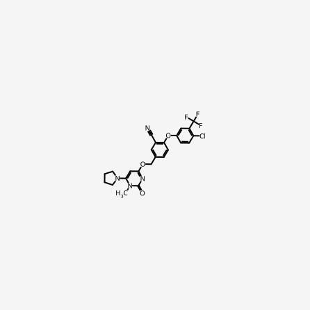 Cn1c(N2CCCC2)cc(OCc2ccc(Oc3ccc(Cl)c(C(F)(F)F)c3)c(C#N)c2)nc1=O